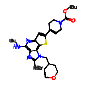 CCCCc1nc2c(NC(C)(C)C)nc3cc(C4=CCN(C(=O)OC(C)(C)C)CC4)sc3c2n1CC1CCOCC1